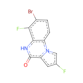 O=c1[nH]c2c(F)c(Br)ccc2n2cc(F)cc12